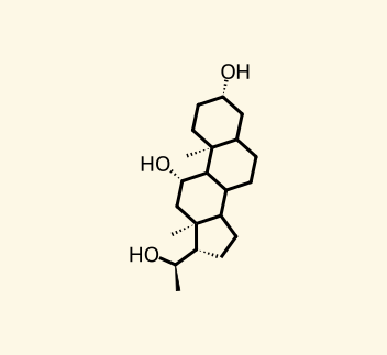 C[C@@H](O)[C@H]1CCC2C3CCC4C[C@@H](O)CC[C@]4(C)C3[C@@H](O)C[C@@]21C